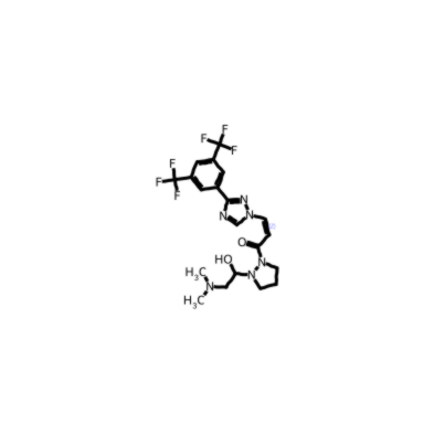 CN(C)CC(O)N1CCCN1C(=O)/C=C\n1cnc(-c2cc(C(F)(F)F)cc(C(F)(F)F)c2)n1